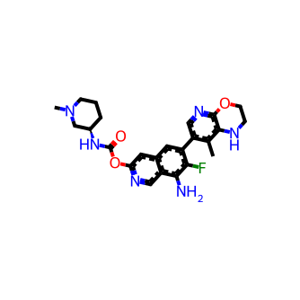 Cc1c(-c2cc3cc(OC(=O)N[C@@H]4CCCN(C)C4)ncc3c(N)c2F)cnc2c1NCCO2